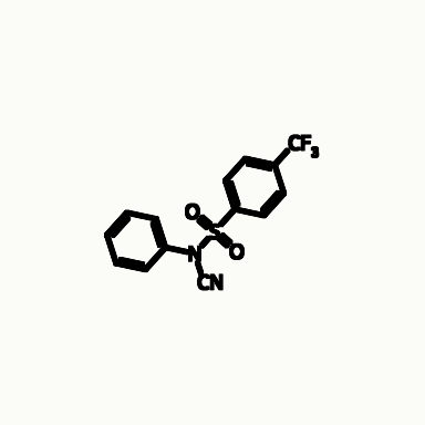 N#CN(c1ccccc1)S(=O)(=O)c1ccc(C(F)(F)F)cc1